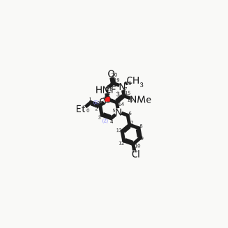 CC/C=C(\C=C/N(Cc1ccc(Cl)cc1)c1c(NC)n(C)c(=O)[nH]c1=O)OC(F)(F)F